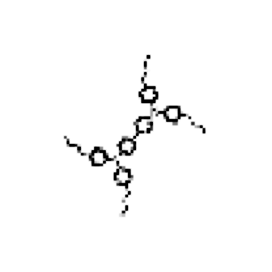 CCCCc1ccc(N(c2ccc(CCCC)cc2)c2ccc(-c3ccc(N(c4ccc(CCCC)cc4)c4ccc(CCCC)cc4)cc3)cc2)cc1